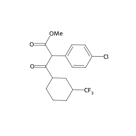 COC(=O)C(C(=O)C1CCCC(C(F)(F)F)C1)c1ccc(Cl)cc1